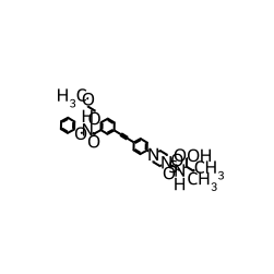 COCCOc1ccc(C#Cc2ccc(N3CCN(S(=O)(=O)N[C@@H](C(=O)O)C(C)C)CC3)cc2)cc1C(=O)NOc1ccccc1